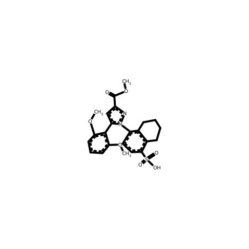 COC(=O)c1cc(-c2c(OC)cccc2OC)n(-c2ccc(S(=O)(=O)O)c3c2CCCC3)n1